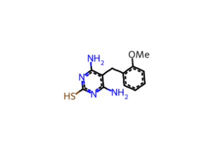 COc1ccccc1Cc1c(N)nc(S)nc1N